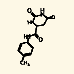 Cc1ccc(NC(=O)C2CC(=O)NC(=O)N2)cc1